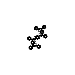 Cc1cc(-c2cc(-c3ccccc3)c3ccc4c(-c5ccccc5)cc(-c5ccccc5)nc4c3n2)c(C)cc1-c1cc(-c2ccccc2)c2ccc3c(-c4ccccc4)cc(-c4ccccc4)nc3c2n1